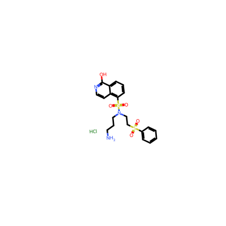 Cl.NCCCN(CCS(=O)(=O)c1ccccc1)S(=O)(=O)c1cccc2c(O)nccc12